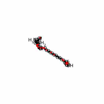 CCCN(OCCNC(=O)OC1CCC1)C(=O)C1=Cc2ccc(-c3cccc(S(=O)(=O)N4CC(CNC(=O)CCOCCOCCOCCOCCOCCOCCOCCOCCOCCOCCC(=O)Oc5c(F)c(F)c(S(=O)(=O)O)c(F)c5F)C4)c3)cc2N=C(N)C1